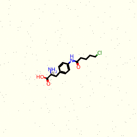 N[C@@H](Cc1ccc(NC(=O)CCCCCl)cc1)C(=O)O